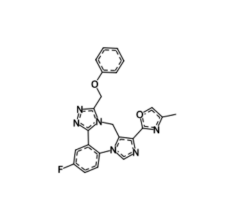 Cc1coc(-c2ncn3c2Cn2c(COc4ccccc4)nnc2-c2cc(F)ccc2-3)n1